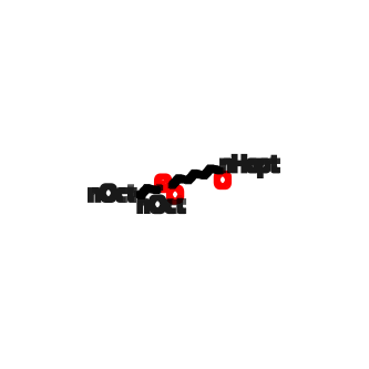 CCCCCCCCC(CCCCCCCC)CCOC(=O)CCCCCC(=O)CCCCCCC